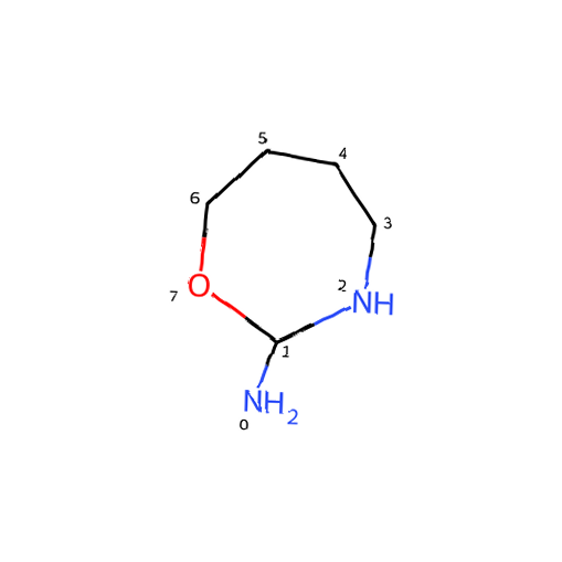 NC1NCCCCO1